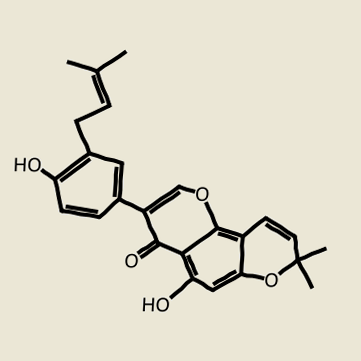 CC(C)=CCc1cc(-c2coc3c4c(cc(O)c3c2=O)OC(C)(C)C=C4)ccc1O